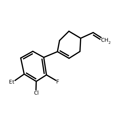 C=CC1CC=C(c2ccc(CC)c(Cl)c2F)CC1